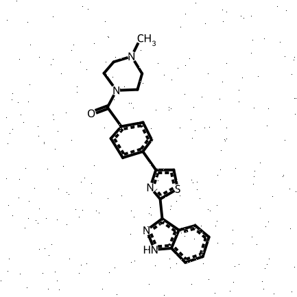 CN1CCN(C(=O)c2ccc(-c3csc(-c4n[nH]c5ccccc45)n3)cc2)CC1